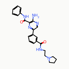 Nc1ncc(-c2cccc(C(=O)NCCN3CCCC3)c2)nc1C(=O)Nc1ccccc1